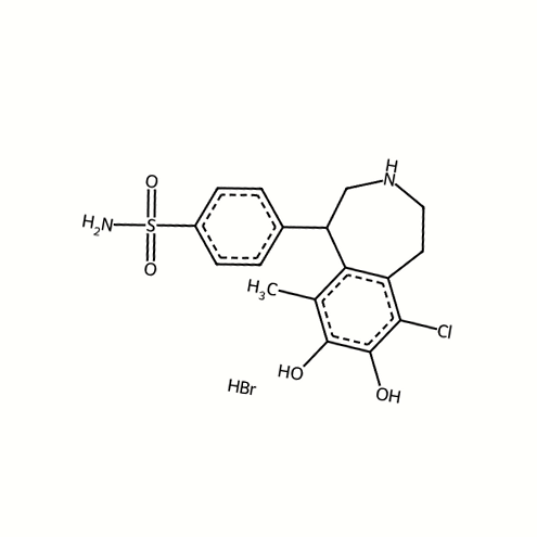 Br.Cc1c(O)c(O)c(Cl)c2c1C(c1ccc(S(N)(=O)=O)cc1)CNCC2